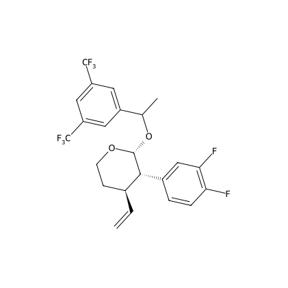 C=C[C@H]1CCO[C@H](OC(C)c2cc(C(F)(F)F)cc(C(F)(F)F)c2)[C@@H]1c1ccc(F)c(F)c1